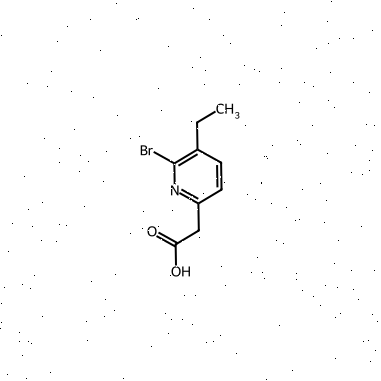 CCc1ccc(CC(=O)O)nc1Br